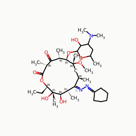 CC[C@H]1OC(=O)[C@H](C)C(=O)[C@H](C)[C@@H](OC2OC(C)CC(N(C)C)C2O)[C@](C)(OC)C[C@@H](C)/C(=N\N=C2CCCCC2)[C@H](C)[C@@H](O)[C@]1(C)O